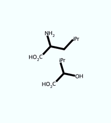 CC(C)C(O)C(=O)O.CC(C)CC(N)C(=O)O